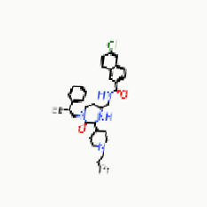 CC[C@H](CN1CCC(CNC(=O)c2ccc3cc(Cl)ccc3c2)NC(C2CCN(CCC(C)C)CC2)C1=O)c1ccccc1